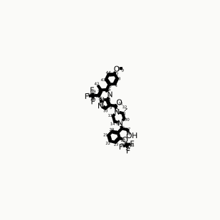 COc1ccc(-c2nc3c(C(=O)N4CCN(C(CO)c5ccccc5OC(F)(F)F)C[C@H]4C)cnn3c(C(F)(F)F)c2C)cc1